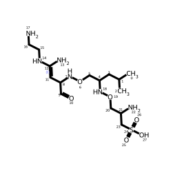 CC(C)CC(CONC(C=O)/C=C(\N)NCCN)NOCC(N)CS(=O)(=O)O